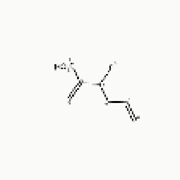 C=CCC(F)C(=C)C(=O)O